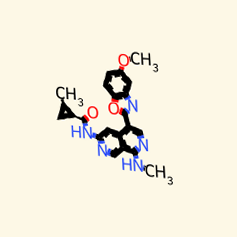 CNc1ncc(-c2nc3cc(OC)ccc3o2)c2cc(NC(=O)[C@H]3C[C@H]3C)ncc12